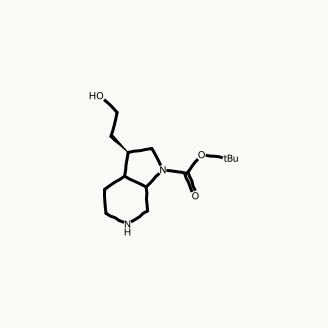 CC(C)(C)OC(=O)N1C[C@H](CCO)C2CCNCC21